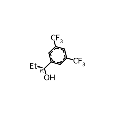 CC[C@H](O)c1cc(C(F)(F)F)cc(C(F)(F)F)c1